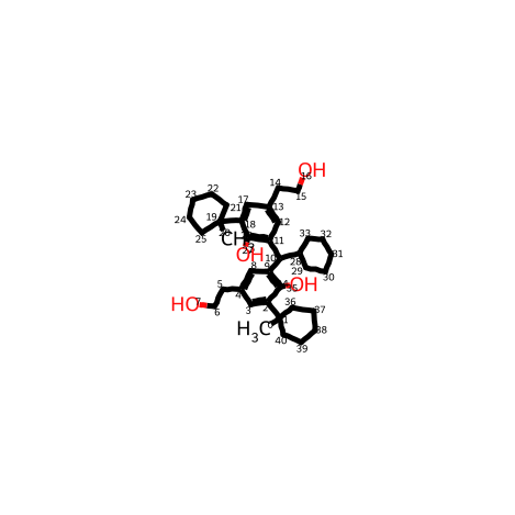 CC1(c2cc(CCO)cc(C(c3cc(CCO)cc(C4(C)CCCCC4)c3O)C3CCCCC3)c2O)CCCCC1